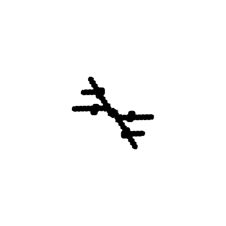 CCCCCCCCCCCC(=O)OCCCCCN(CCCCCCCOC(=O)C(CCCCCCCC)CCCCCCCC)CCN1CCN(CCN(CCCCCCCOC(=O)C(CCCCCCCC)CCCCCCCC)CCCCCOC(=O)CCCCCCCCCCC)CC1